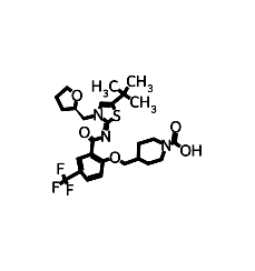 CC(C)(C)c1cn(C[C@H]2CCCO2)c(=NC(=O)c2cc(C(F)(F)F)ccc2OCC2CCN(C(=O)O)CC2)s1